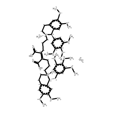 COc1cc2c(cc1OC)[C@@H](c1cc(OC)c(OC)c(OC)c1)[N@@+](C)(CCCC(C(=O)O)=C(CCC[N@@+]1(C)CCc3cc(OC)c(OC)cc3[C@H]1Cc1cc(OC)c(OC)c(OC)c1)C(=O)O)CC2.[Cl-].[Cl-]